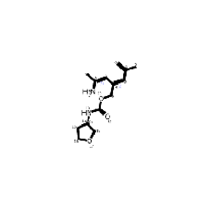 C=C(C)/C=C(\C=C(\C)N)COC(=O)N[C@@H]1CCOC1